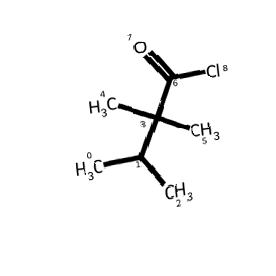 CC(C)C(C)(C)C(=O)Cl